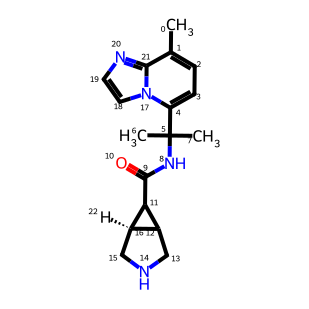 Cc1ccc(C(C)(C)NC(=O)C2C3CNC[C@H]32)n2ccnc12